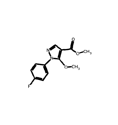 COC(=O)c1cnn(-c2ccc(F)cc2)c1OC